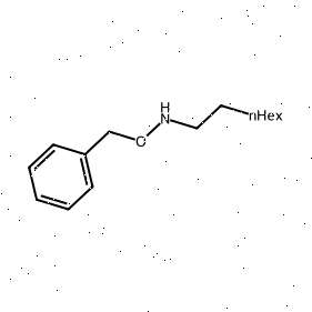 CCCCCCCCNOCc1ccccc1